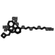 COCCOCCOCCOc1ccc2c3c1O[C@H]1[C@@H](O)CC[C@@]4(O)[C@@H](C2)N(CC2CCC2)CC[C@]314